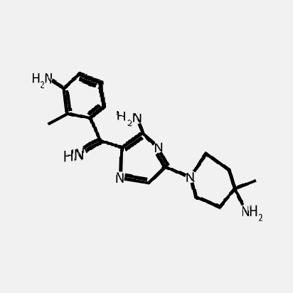 Cc1c(N)cccc1C(=N)c1ncc(N2CCC(C)(N)CC2)nc1N